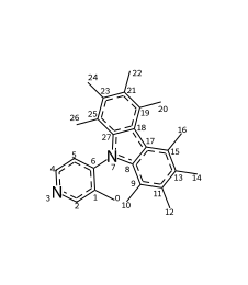 Cc1cnccc1-n1c2c(C)c(C)c(C)c(C)c2c2c(C)c(C)c(C)c(C)c21